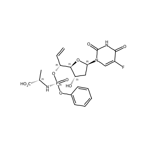 C=C[C@@H](O[P@](=O)(N[C@@H](C)C(=O)O)Oc1ccccc1)[C@H]1O[C@@H](n2cc(F)c(=O)[nH]c2=O)C[C@@H]1O